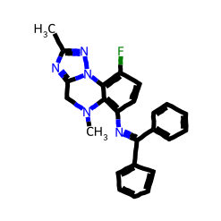 Cc1nc2n(n1)-c1c(F)ccc(N=C(c3ccccc3)c3ccccc3)c1N(C)C2